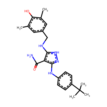 Cc1cc(CNc2[nH]nc(Nc3ccc(C(C)(C)C)cc3)c2C(N)=O)cc(C)c1O